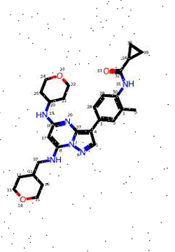 Cc1cc(-c2cnn3c(NCC4CCOCC4)cc(NC4CCOCC4)nc23)ccc1NC(=O)C1CC1